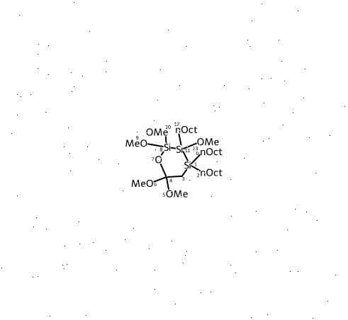 CCCCCCCC[Si]1(CCCCCCCC)CC(OC)(OC)O[Si](OC)(OC)[Si]1(CCCCCCCC)OC